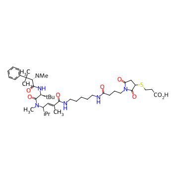 CN[C@H](C(=O)N[C@H](C(=O)N(C)C(/C=C(\C)C(=O)NCCCCCNC(=O)CCCN1C(=O)CC(SCCC(=O)O)C1=O)C(C)C)C(C)(C)C)C(C)(C)c1ccccc1